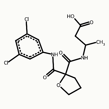 CC(CC(=O)O)NC(=O)C1(C(=O)Nc2cc(Cl)cc(Cl)c2)CCCO1